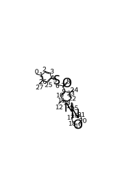 Cc1ccc(SCC(=O)c2cc(C)c(/N=C/N3CCOCC3)cc2C)cc1C